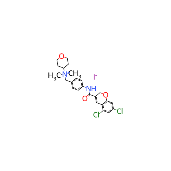 C[N+](C)(Cc1ccc(NC(=O)C2=Cc3c(Cl)cc(Cl)cc3OC2)cc1)C1CCOCC1.[I-]